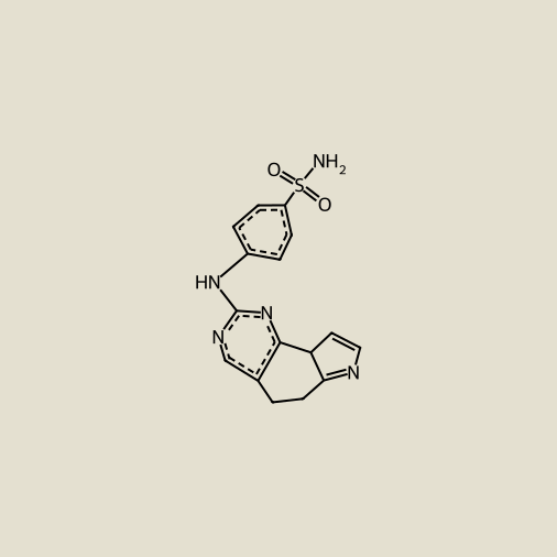 NS(=O)(=O)c1ccc(Nc2ncc3c(n2)C2C=CN=C2CC3)cc1